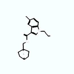 O=C(NCC12CCC(CC1)CC2)c1cn(CCO)c2ccc(Cl)cc12